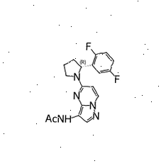 CC(=O)Nc1cnn2ccc(N3CCC[C@@H]3c3cc(F)ccc3F)nc12